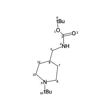 CC(C)(C)OC(=O)NCC1CCN(C(C)(C)C)CC1